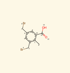 Cc1c(CBr)cc(CBr)cc1C(=O)O